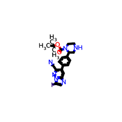 CC(C)(C)OC(=O)N1CCNCC1c1ccc(-c2cc3ncc(I)n3nc2C#N)cc1